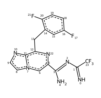 N=C(/N=C(\N)c1cn2ccnc2c(Cc2cc(F)ccc2F)n1)C(F)(F)F